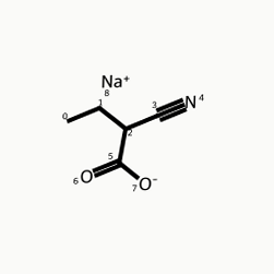 CCC(C#N)C(=O)[O-].[Na+]